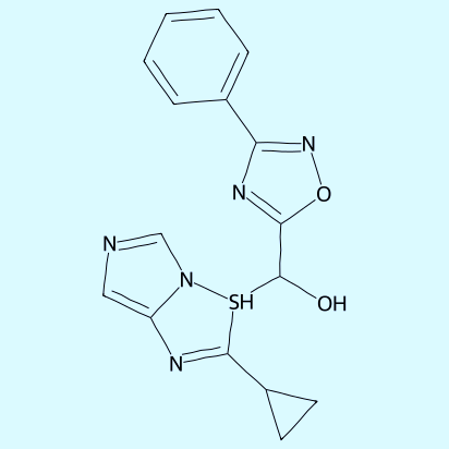 OC(c1nc(-c2ccccc2)no1)[SH]1C(C2CC2)=Nc2cncn21